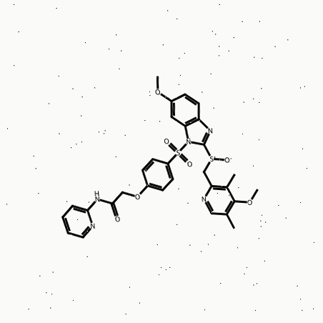 COc1ccc2nc([S+]([O-])Cc3ncc(C)c(OC)c3C)n(S(=O)(=O)c3ccc(OCC(=O)Nc4ccccn4)cc3)c2c1